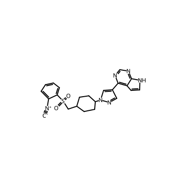 [C-]#[N+]c1ccccc1S(=O)(=O)CC1CCC(n2cc(-c3ncnc4[nH]ccc34)cn2)CC1